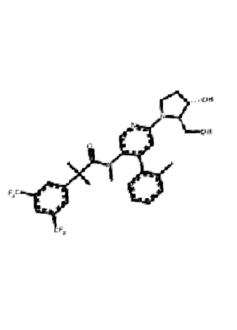 Cc1ccccc1-c1cc(N2CC[C@H](O)[C@H]2CO)ncc1N(C)C(=O)C(C)(C)c1cc(C(F)(F)F)cc(C(F)(F)F)c1